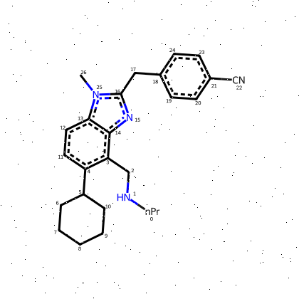 CCCNCc1c(C2CCCCC2)ccc2c1nc(Cc1ccc(C#N)cc1)n2C